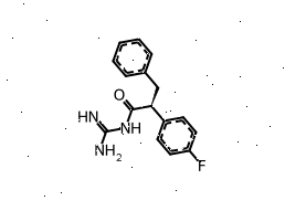 N=C(N)NC(=O)[C@@H](Cc1ccccc1)c1ccc(F)cc1